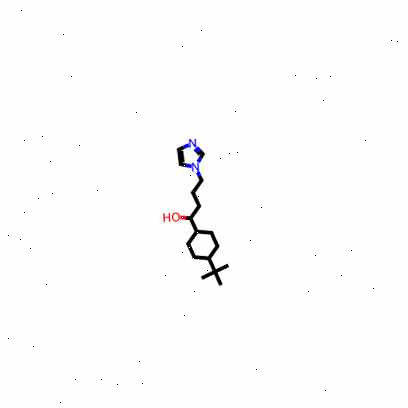 CC(C)(C)C1CCC(C(O)CCCn2ccnc2)CC1